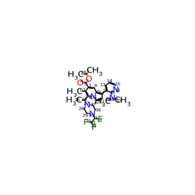 Cc1c(C(=O)OC(C)C)cc2c(-c3cccnc3N(C)C)ccn2c1C(C)N1CCN(C(F)C(F)F)CC1